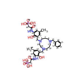 Cc1cc(CN2CCCN(Cc3ccccc3)CCCN(Cc3cc(C)cc(NC(=O)CP(=O)(O)O)c3O)CC2)c(O)c(NC(=O)CP(=O)(O)O)c1